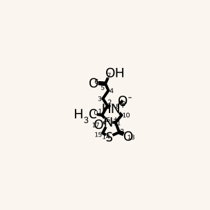 CC1C(CCC(=O)O)[NH+]([O-])CC2C(=O)SC[N+]21[O-]